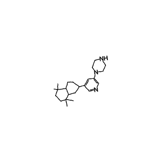 CC1(C)CCC(C)(C)C2CC(c3cncc(N4CCNCC4)c3)CCC21